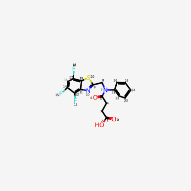 O=C(O)CCC(=O)N(Cc1nc2c(F)c(F)cc(F)c2s1)c1ccccc1